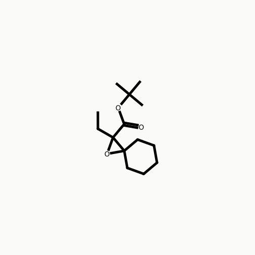 CCC1(C(=O)OC(C)(C)C)OC12CCCCC2